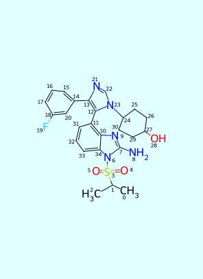 CC(C)S(=O)(=O)n1c(N)nc2c(-c3c(-c4cccc(F)c4)ncn3C3CCC(O)CC3)cccc21